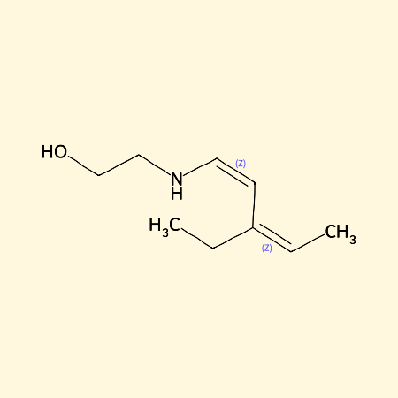 C/C=C(\C=C/NCCO)CC